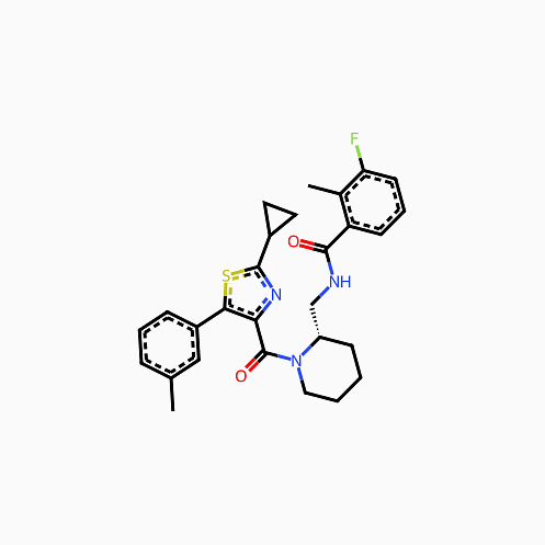 Cc1cccc(-c2sc(C3CC3)nc2C(=O)N2CCCC[C@H]2CNC(=O)c2cccc(F)c2C)c1